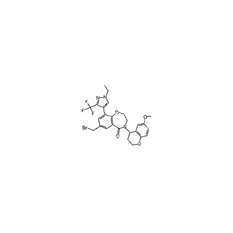 CCn1cc(-c2cc(CBr)cc3c2OCCN(C2CCOc4ccc(OC)cc42)C3=O)c(C(F)(F)F)n1